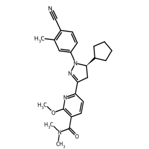 COc1nc(C2=NN(c3ccc(C#N)c(C)c3)[C@@H](C3CCCC3)C2)ccc1C(=O)N(C)C